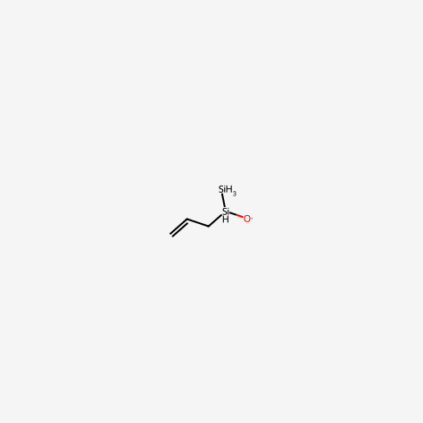 C=CC[SiH]([O])[SiH3]